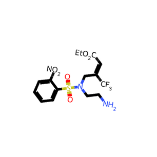 CCOC(=O)/C=C(\CN(CCN)S(=O)(=O)c1ccccc1[N+](=O)[O-])C(F)(F)F